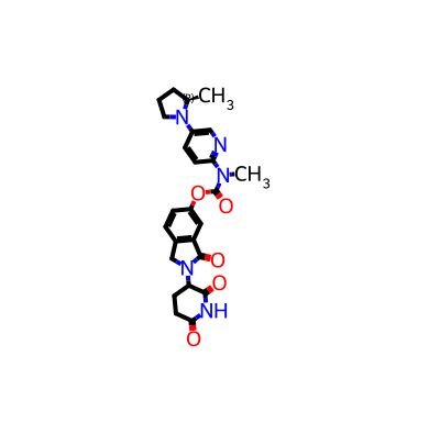 C[C@@H]1CCCN1c1ccc(N(C)C(=O)Oc2ccc3c(c2)C(=O)N(C2CCC(=O)NC2=O)C3)nc1